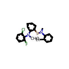 CCc1ccccc1N(C)Sc1ccccc1N(C=O)c1c(F)cccc1Cl